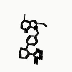 CCc1cc2c(C)ccnc2n1Cc1ccc(-c2ccccc2-c2nnn[nH]2)cc1